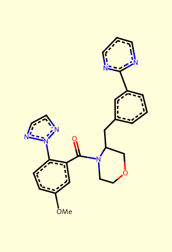 COc1ccc(-n2nccn2)c(C(=O)N2CCOCC2Cc2cccc(-c3ncccn3)c2)c1